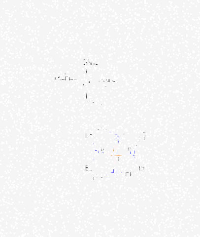 CCN(CC)P(=NCCC[Si](OC)(OC)OC)(N(CC)CC)N(CC)CC